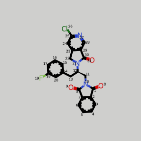 O=C1c2ccccc2C(=O)N1C[C@@H](Cc1cccc(F)c1)N1Cc2cc(Cl)ncc2C1=O